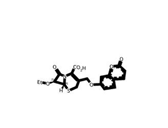 CCO[C@H]1C(=O)N2C(C(=O)O)=C(COc3ccc4ccc(=O)oc4c3)CS[C@H]12